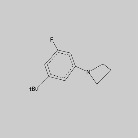 CC(C)(C)c1cc(F)cc(N2CCC2)c1